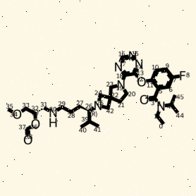 CCN(C(=O)c1cc(F)ccc1Oc1nncnc1N1CCC2(C1)CN([C@H](CCCNC[C@@H](COC)OC=O)C(C)C)C2)C(C)C